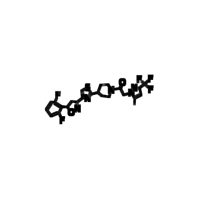 Cc1cc(C(F)(F)F)nn1CC(=O)N1CCC(c2nc(C3=NO[C@@H](c4c(F)cccc4F)C3)cs2)CC1